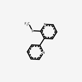 FC(F)(F)Sc1ncccc1-c1ccccn1